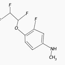 CNc1ccc(OC(F)C(F)F)c(F)c1